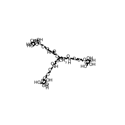 CC(O)[C@H](O)C(CO)O[C@@H](CO)OCCOCCOCCNC(=O)CCOCC(C)(COCCC(=O)NCCOCCOCCO[C@H]1OC(CO)[C@@H](O)C(O)C1O)COCCC(=O)NCCOCCOCCO[C@H]1OC(CO)[C@@H](O)C(O)C1O